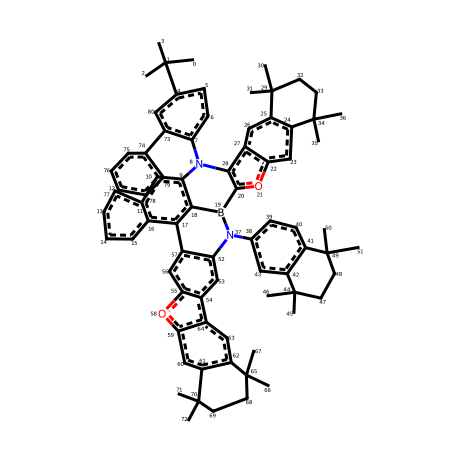 CC(C)(C)c1ccc(N2c3cc4ccccc4c4c3B(c3oc5cc6c(cc5c32)C(C)(C)CCC6(C)C)N(c2ccc3c(c2)C(C)(C)CCC3(C)C)c2cc3c(cc2-4)oc2cc4c(cc23)C(C)(C)CCC4(C)C)c(-c2ccccc2)c1